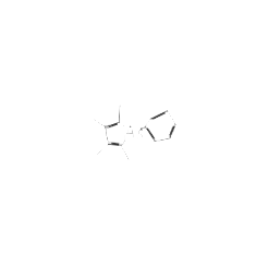 CC1=C(C)[As](c2ccccc2)C(C)=C1C